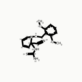 COc1cccc(OC)c1CCN1C=CC=CC1(C#N)NC(N)=S